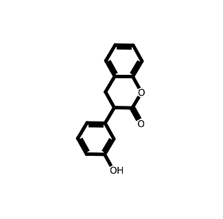 O=C1Oc2ccccc2CC1c1cccc(O)c1